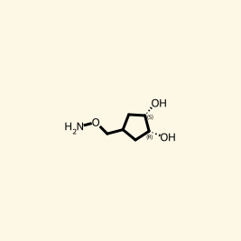 NOCC1C[C@@H](O)[C@@H](O)C1